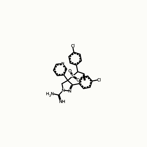 C=CC(c1ccc(Cl)cc1)S(=O)(=O)C1(c2cccnc2)CN(C(=N)N)N=C1c1ccc(Cl)cc1